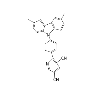 Cc1ccc2c(c1)c1cc(C)ccc1n2-c1ccc(-c2ncc(C#N)cc2C#N)cc1